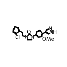 COc1cc(N2CCN(CCc3ccccc3Cl)C2=O)ccc1-c1cn[nH]c1